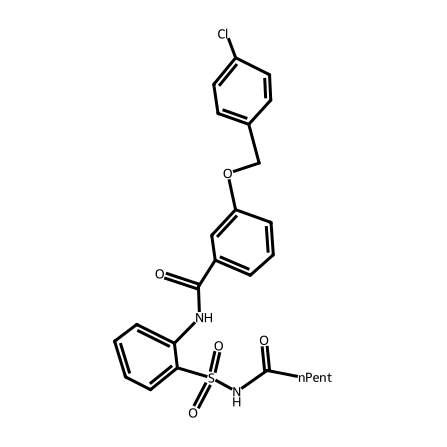 CCCCCC(=O)NS(=O)(=O)c1ccccc1NC(=O)c1cccc(OCc2ccc(Cl)cc2)c1